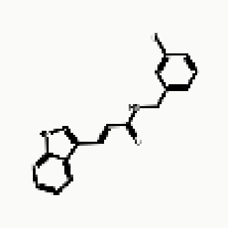 O=C(C=Cc1c[nH]c2ncccc12)NCc1cccc(Cl)c1